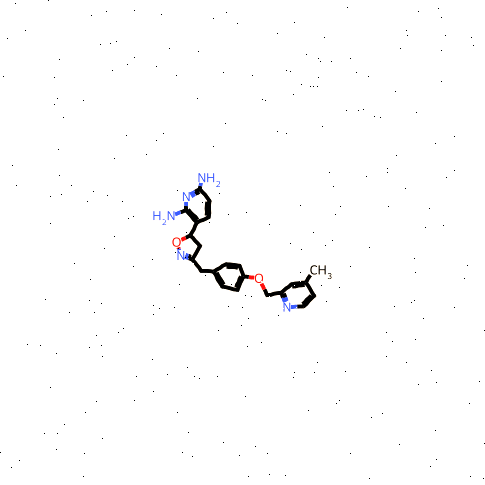 Cc1ccnc(COc2ccc(CC3=NOC(c4ccc(N)nc4N)C3)cc2)c1